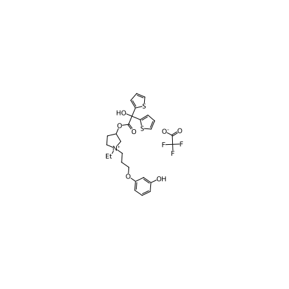 CC[N+]1(CCCOc2cccc(O)c2)CCC(OC(=O)C(O)(c2cccs2)c2cccs2)C1.O=C([O-])C(F)(F)F